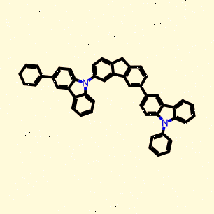 C1=CC(c2ccc3c(c2)c2ccccc2n3-c2ccc3c(c2)-c2cc(-c4ccc5c(c4)c4ccccc4n5-c4ccccc4)ccc2C3)=CCC1